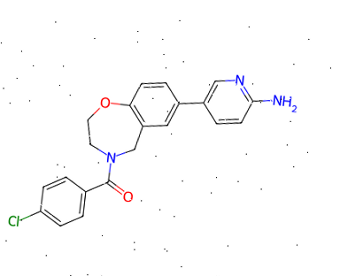 Nc1ccc(-c2ccc3c(c2)CN(C(=O)c2ccc(Cl)cc2)CCO3)cn1